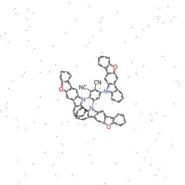 N#Cc1c(-n2c3ccccc3c3cc4oc5ccccc5c4cc32)cc(-n2c3ccccc3c3cc4oc5ccccc5c4cc32)c(-n2c3ccccc3c3cc4oc5ccccc5c4cc32)c1C#N